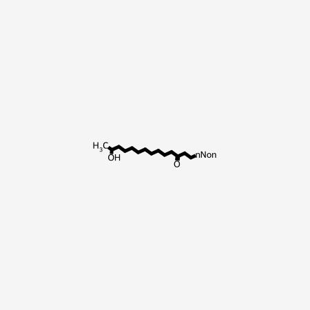 CCCCCCCCCCCC(=O)CCCCCCCCCC(C)O